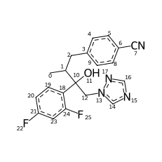 CC(Cc1ccc(C#N)cc1)C(O)(Cn1cncn1)c1ccc(F)cc1F